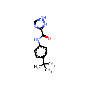 CC(C)(C)c1ccc(NC(=O)c2nc[nH]n2)cc1